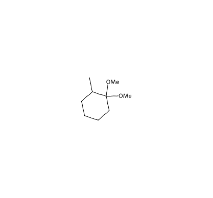 COC1(OC)CCCCC1C